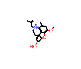 C=C(C)C[N+]1(C)CCC23C=C[C@H](O)CC2Oc2c(OC)cc(C)c1c23